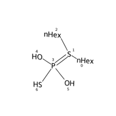 CCCCCCS(CCCCCC)=P(O)(O)S